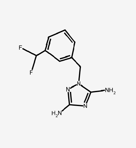 Nc1nc(N)n(Cc2cccc(C(F)F)c2)n1